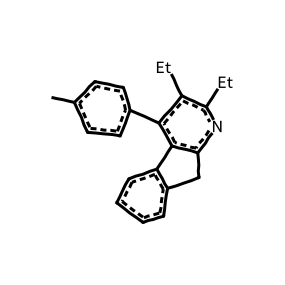 CCc1nc2c(c(-c3ccc(C)cc3)c1CC)-c1ccccc1C2